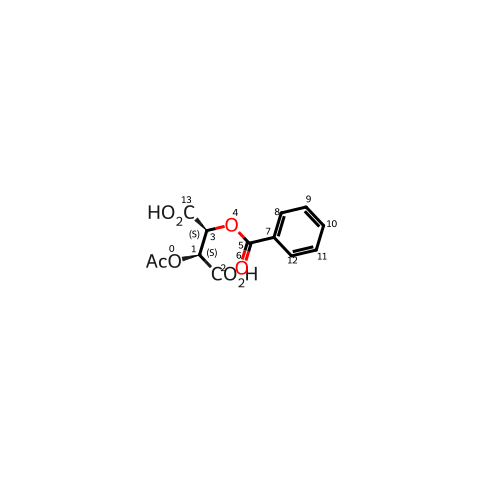 CC(=O)O[C@H](C(=O)O)[C@H](OC(=O)c1ccccc1)C(=O)O